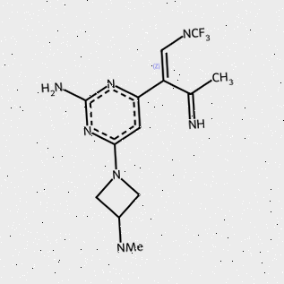 CNC1CN(c2cc(/C(=C/NC(F)(F)F)C(C)=N)nc(N)n2)C1